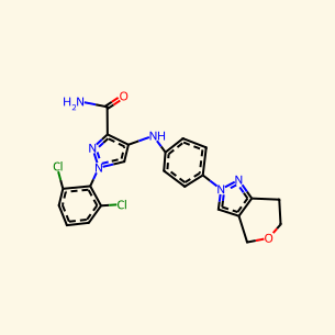 NC(=O)c1nn(-c2c(Cl)cccc2Cl)cc1Nc1ccc(-n2cc3c(n2)CCOC3)cc1